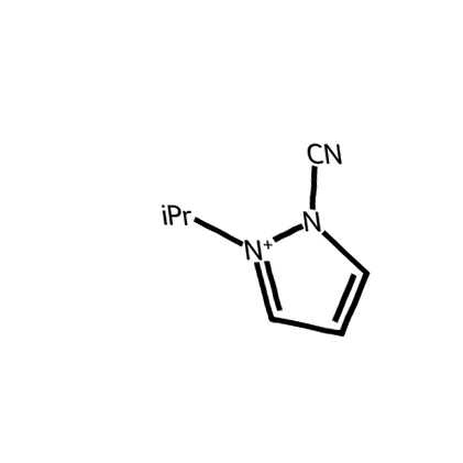 CC(C)[n+]1cccn1C#N